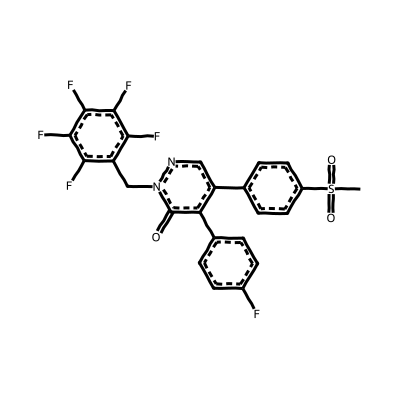 CS(=O)(=O)c1ccc(-c2cnn(Cc3c(F)c(F)c(F)c(F)c3F)c(=O)c2-c2ccc(F)cc2)cc1